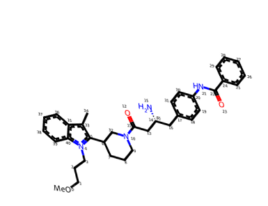 COCCCn1c(C2CCCN(C(=O)C[C@H](N)Cc3ccc(NC(=O)c4ccccc4)cc3)C2)c(C)c2ccccc21